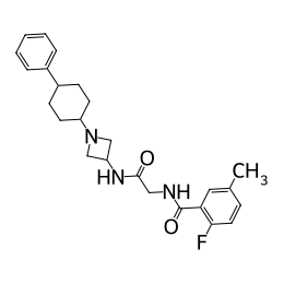 Cc1ccc(F)c(C(=O)NCC(=O)NC2CN(C3CCC(c4ccccc4)CC3)C2)c1